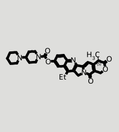 CCc1c2c(nc3ccc(OC(=O)N4CCC(N5CCCCC5)CC4)cc13)-c1cc3c(c(=O)n1C2)COC(=O)[C@H]3C